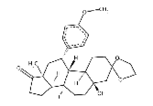 COc1ccc([C@H]2C[C@]3(C)C(=O)CC[C@@H]3[C@@H]3CC[C@@]4(O)CC5(CC[C@@H]4[C@H]32)OCCO5)cc1